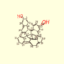 Oc1ccc2cc(C3(c4ccc5cc(O)ccc5c4)c4ccccc4-c4ccc5ccccc5c43)ccc2c1